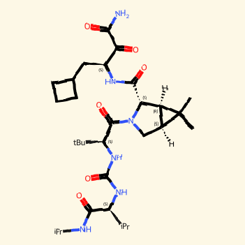 CC(C)NC(=O)[C@@H](NC(=O)N[C@H](C(=O)N1C[C@H]2[C@@H]([C@H]1C(=O)N[C@@H](CC1CCC1)C(=O)C(N)=O)C2(C)C)C(C)(C)C)C(C)C